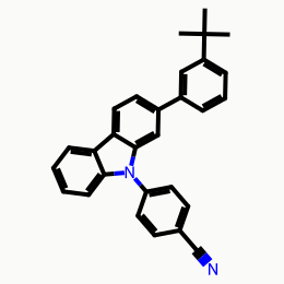 CC(C)(C)c1cccc(-c2ccc3c4ccccc4n(-c4ccc(C#N)cc4)c3c2)c1